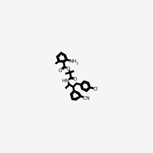 Cc1cccc(N)c1C(=O)OC(C)(C)C(=O)NC(C)C(Cc1ccc(Cl)cc1)c1cccc(C#N)c1